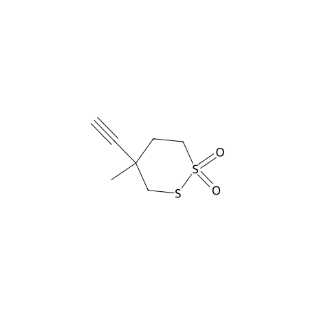 C#CC1(C)CCS(=O)(=O)SC1